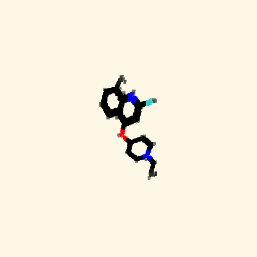 CC(C)(C)CN1CCC(Oc2cc(F)nc3c(C(F)(F)F)cccc23)CC1